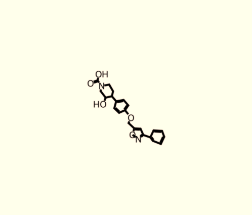 O=C(O)N1CCC(c2ccc(OCc3cc(-c4ccccc4)no3)cc2)C(O)C1